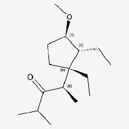 CC[C@H]1[C@H](OC)CC[C@@]1(CC)[C@@H](C)C(=O)C(C)C